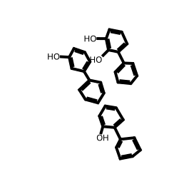 Oc1cccc(-c2ccccc2)c1.Oc1cccc(-c2ccccc2)c1O.Oc1ccccc1-c1ccccc1